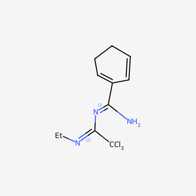 CC/N=C(\N=C(/N)C1=CCCC=C1)C(Cl)(Cl)Cl